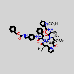 CC[C@H](C)[C@@H]([C@@H](CC(=O)N1CCCC1[C@H](OC)[C@@H](C)C(=O)NC(Cc1ccccc1)C(=O)Nc1ccc(CNC(=O)OCc2ccccc2)cc1)OC)N(C)C(=O)C(NC(=O)C1C2CCC(C2)N1C(=O)O)C(C)C